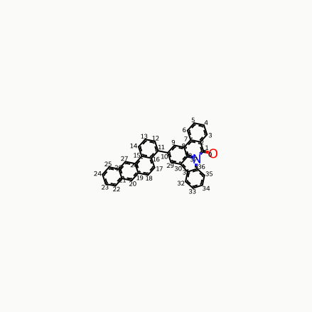 O=c1c2ccccc2c2cc(-c3cccc4c3ccc3cc5ccccc5cc34)cc3c4ccccc4n1c23